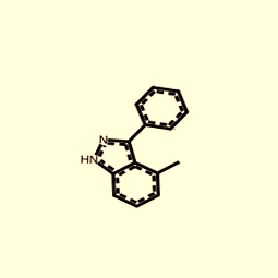 Cc1cccc2[nH]nc(-c3[c]cccc3)c12